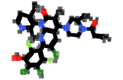 C=CC(=O)N1CCN(c2c(C#N)c(=O)n(-c3c(C)ccnc3C(C)C)c3nc(-c4c(F)c(O)c(Cl)c(Cl)c4F)c(Cl)cc23)C[C@H]1C